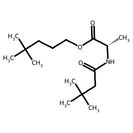 C[C@H](NC(=O)CC(C)(C)C)C(=O)OCCCC(C)(C)C